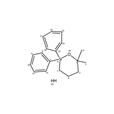 CC1(C)CCC[Si](c2ccccc2)(c2ccccc2)O1.[HH]